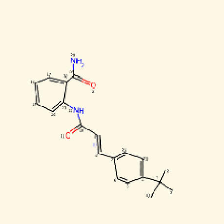 CC(C)(C)c1ccc(/C=C/C(=O)Nc2ccccc2C(N)=O)cc1